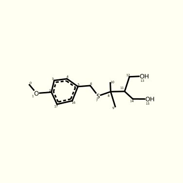 COc1ccc(CSC(C)(C)C(CO)CO)cc1